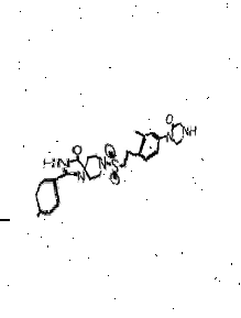 Cc1cc(N2CCNCC2=O)ccc1CCS(=O)(=O)N1CCC2(CC1)N=C(C1CCC(C)CC1)NC2=O